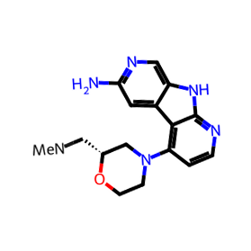 CNC[C@@H]1CN(c2ccnc3[nH]c4cnc(N)cc4c23)CCO1